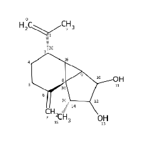 C=C(C)[C@H]1CCC(=C)[C@@]23C(C(O)C(O)[C@@H]2C)C13